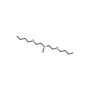 CCCCOCC[S+]([O-])CCOCCCC